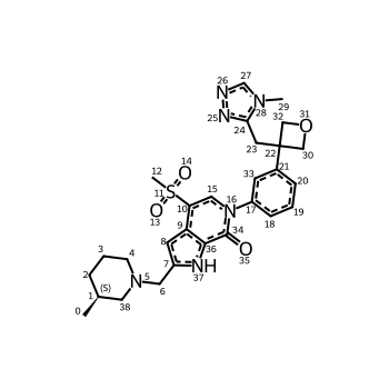 C[C@H]1CCCN(Cc2cc3c(S(C)(=O)=O)cn(-c4cccc(C5(Cc6nncn6C)COC5)c4)c(=O)c3[nH]2)C1